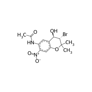 CC(=O)Nc1cc2c(cc1[N+](=O)[O-])OC(C)(C)[C@@H](Br)[C@@H]2O